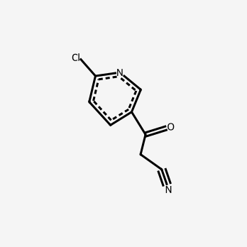 N#CCC(=O)c1ccc(Cl)nc1